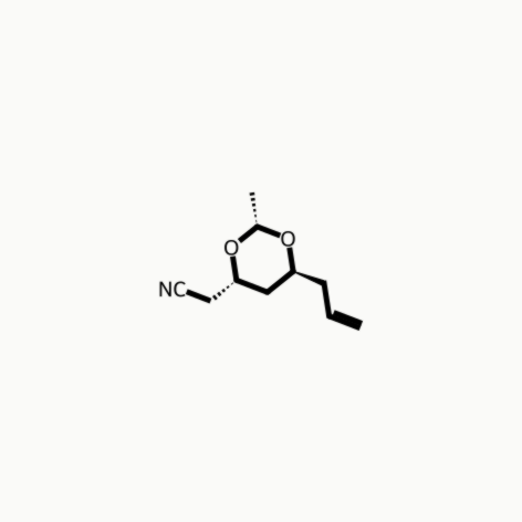 C=CC[C@H]1C[C@H](CC#N)O[C@H](C)O1